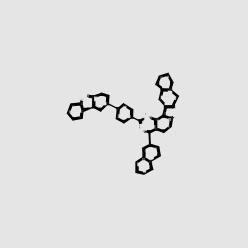 c1ccc2cc(-c3nc(-c4ccc(-c5ccc6oc7ccccc7c6c5)cc4)nc4c3ccc3sc5cc6ccccc6cc5c34)ccc2c1